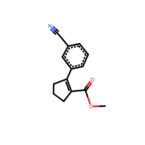 COC(=O)C1=C(c2cccc(C#N)c2)CCC1